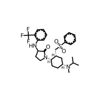 CC(C)N(C)[C@@H]1CC[C@H](N2CCC(Nc3ccccc3C(F)(F)F)C2=O)[C@H](CS(=O)(=O)c2ccccc2)C1